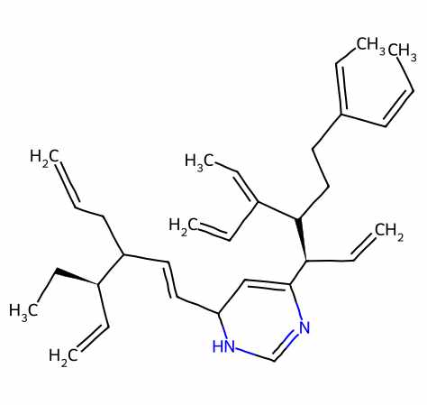 C=CCC(/C=C/C1C=C([C@H](C=C)C(CCC(/C=C\C)=C/C)/C(C=C)=C/C)N=CN1)[C@@H](C=C)CC